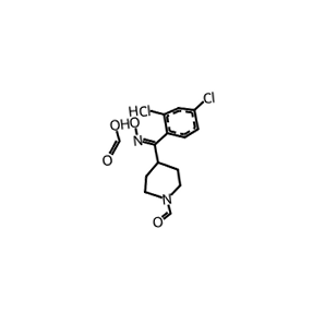 O=CN1CCC(C(=NO)c2ccc(Cl)cc2Cl)CC1.O=CO